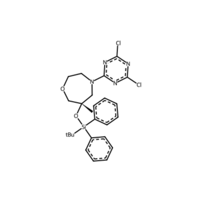 CC(C)(C)[Si](O[C@]1(C)COCCN(c2nc(Cl)nc(Cl)n2)C1)(c1ccccc1)c1ccccc1